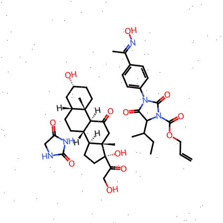 C=CCOC(=O)N1C(=O)N(c2ccc(/C(C)=N/O)cc2)C(=O)C1C(C)CC.C[C@]12CC[C@@H](O)C[C@H]1CC[C@@H]1[C@@H]2C(=O)C[C@@]2(C)[C@H]1CC[C@]2(O)C(=O)CO.O=C1CNC(=O)N1